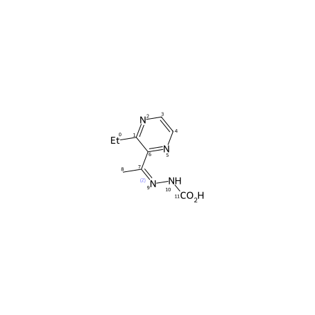 CCc1nccnc1/C(C)=N\NC(=O)O